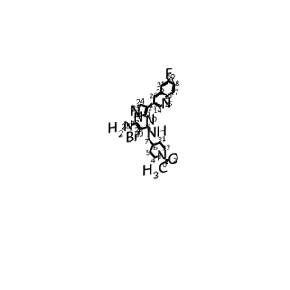 CC(=O)N1CCC(CNc2nc3c(-c4cnc5ccc(F)cc5c4)cnn3c(N)c2Br)CC1